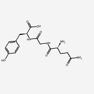 NC(=O)CC[C@H](N)C(=O)NCC(=O)N[C@@H](Cc1ccc(O)cc1)C(=O)O